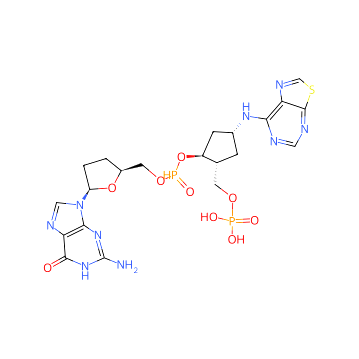 Nc1nc2c(ncn2[C@H]2CC[C@@H](CO[PH](=O)O[C@H]3C[C@H](Nc4ncnc5scnc45)C[C@@H]3COP(=O)(O)O)O2)c(=O)[nH]1